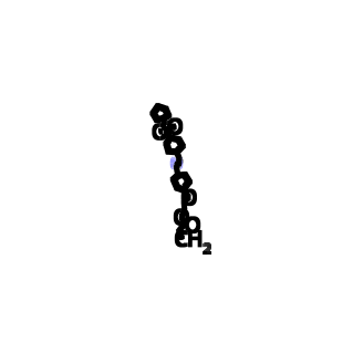 C=CC(=O)OCCOc1ccc(/C=C/c2ccc(S(=O)(=O)c3ccccc3)cc2)cc1